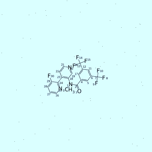 CN(C(=O)c1cc(C(F)(F)F)cc(C(F)(F)F)c1)c1cnccc1-c1ncccc1F